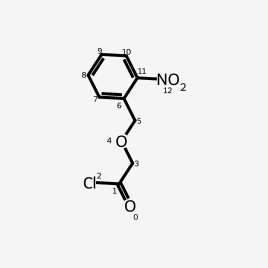 O=C(Cl)COCc1ccccc1[N+](=O)[O-]